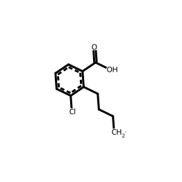 [CH2]CCCc1c(Cl)cccc1C(=O)O